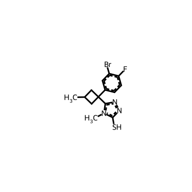 CC1CC(c2ccc(F)c(Br)c2)(c2nnc(S)n2C)C1